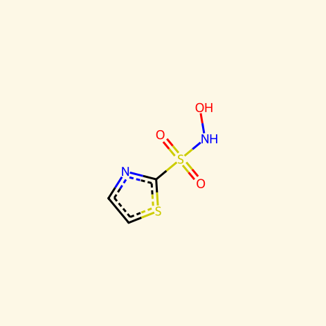 O=S(=O)(NO)c1nccs1